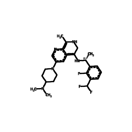 CC1=c2ncc(N3CCC(N(C)C)CC3)cc2=C(N[C@H](C)c2cccc(C(F)F)c2F)CN1